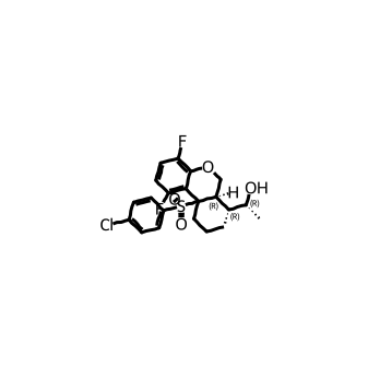 C[C@@H](O)[C@@H]1CCCC2(S(=O)(=O)c3ccc(Cl)cc3)c3c(F)ccc(F)c3OC[C@@H]12